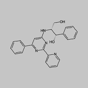 OC[C@@H](Nc1cc(-c2ccccc2)nc(-c2ccccn2)n1)[C@@H](O)c1ccccc1